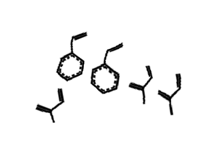 C=CC(=C)C.C=CC(=C)C.C=CC(=C)C.C=Cc1ccccc1.C=Cc1ccccc1